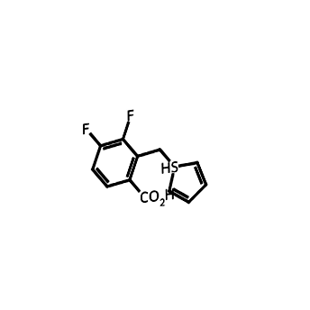 O=C(O)c1ccc(F)c(F)c1C[SH]1C=CC=C1